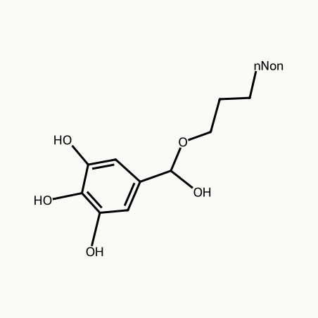 CCCCCCCCCCCCOC(O)c1cc(O)c(O)c(O)c1